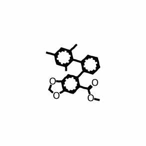 COC(=O)c1cc2c(cc1-c1ccccc1-c1c(C)cc(C)cc1C)OCO2